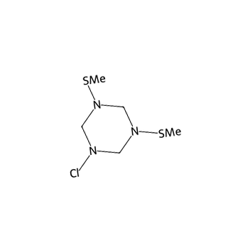 CSN1CN(Cl)CN(SC)C1